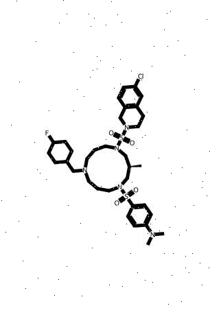 C[C@H]1CN(S(=O)(=O)c2ccc(N(C)C)cc2)CCCN(CC2CCC(F)CC2)CCCN(S(=O)(=O)N2CCc3cc(Cl)ccc3C2)C1